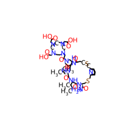 CC[C@H](C)[C@@H]1NC(=O)[C@H](CC(C)C)NC(=O)C2(CCN(C(=O)CN3CCN(CC(=O)O)CCN(CC(=O)O)CCN(CC(=O)O)CC3)CC2)NC(=O)CCSCc2cccc(n2)CSC[C@@H](C(N)=O)NC1=O